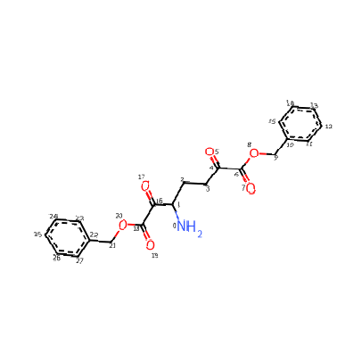 NC(CCC(=O)C(=O)OCc1ccccc1)C(=O)C(=O)OCc1ccccc1